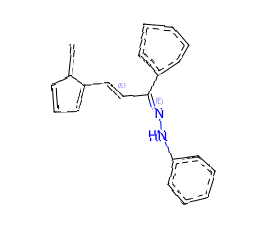 C=C1C=CC=C1/C=C/C(=N\Nc1ccccc1)c1ccccc1